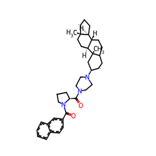 C[C@@]12[CH]CC[C@H]1[C@@H]1CCC3C[CH][C@@H](N4CCN(C(=O)[C@@H]5CCCN5C(=O)c5ccc6ccccc6c5)CC4)C[C@]3(C)[C@H]1CC2